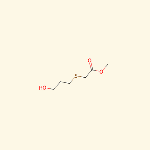 COC(=O)CSCCCO